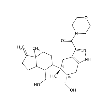 C=C1CCC2C(CO)C([C@]3(C)Cc4c(C(=O)N5CCOCC5)n[nH]c4C[C@@H]3CO)CCC12C